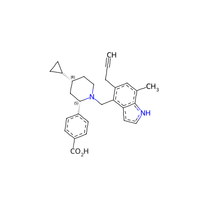 C#CCc1cc(C)c2[nH]ccc2c1CN1CC[C@@H](C2CC2)C[C@H]1c1ccc(C(=O)O)cc1